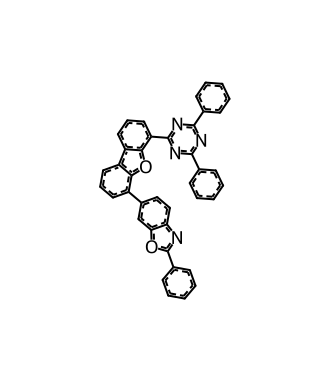 c1ccc(-c2nc(-c3ccccc3)nc(-c3cccc4c3oc3c(-c5ccc6nc(-c7ccccc7)oc6c5)cccc34)n2)cc1